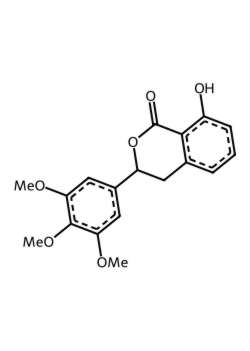 COc1cc(C2Cc3cccc(O)c3C(=O)O2)cc(OC)c1OC